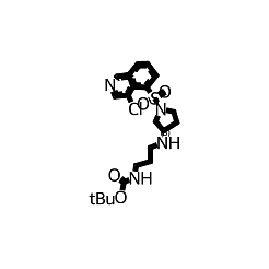 CC(C)(C)OC(=O)NCCCN[C@H]1CCN(S(=O)(=O)c2cccc3cncc(Cl)c23)C1